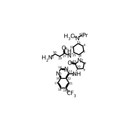 CC(C)N(C)[C@@H]1CC[C@H](N2CC[C@H](Nc3ncnc4ccc(C(F)(F)F)cc34)C2=O)[C@H](NC(=O)CCN)C1